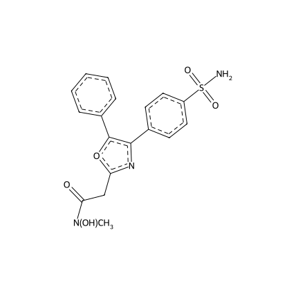 CN(O)C(=O)Cc1nc(-c2ccc(S(N)(=O)=O)cc2)c(-c2ccccc2)o1